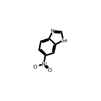 O=[N+]([O-])c1ccc2nc[se]c2c1